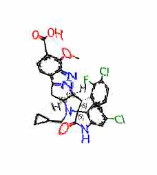 COc1c(C(=O)O)ccc2c3n(nc12)[C@@H]1[C@H](C3)N(CC2CC2)[C@@]2(C(=O)Nc3cc(Cl)ccc32)[C@H]1c1cccc(Cl)c1F